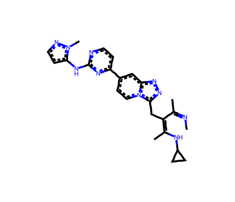 C/N=C(C)\C(Cc1nnc2cc(-c3ccnc(Nc4ccnn4C)n3)ccn12)=C(\C)NC1CC1